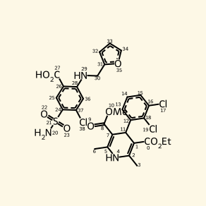 CCOC(=O)C1=C(C)NC(C)=C(C(=O)OC)C1c1cccc(Cl)c1Cl.NS(=O)(=O)c1cc(C(=O)O)c(NCc2ccco2)cc1Cl